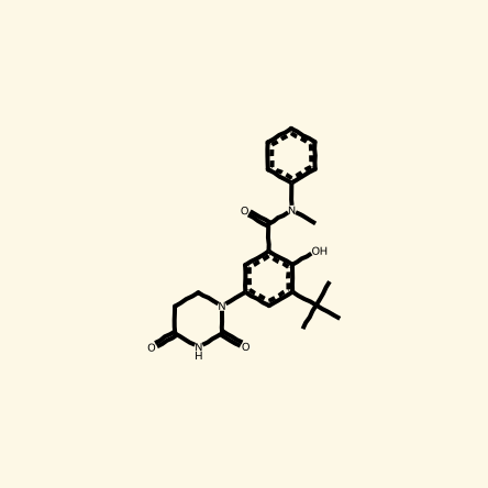 CN(C(=O)c1cc(N2CCC(=O)NC2=O)cc(C(C)(C)C)c1O)c1ccccc1